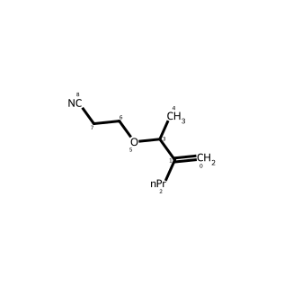 C=C(CCC)C(C)OCCC#N